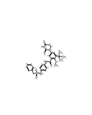 COc1c(C(=O)Nc2ccc(NS(=O)(=O)Cc3ccccc3)cc2)cc(N2CCC(=O)NC2=O)cc1C(C)(C)C